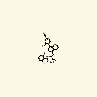 N#Cc1ccc(-c2ccc(C[C@H](NC(=O)c3c(F)cccc3Cl)C(=O)O)c3cccnc23)c(Cl)c1